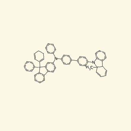 CC12C=CC=CC1c1ccccc1N2c1ccc(-c2ccc(N(c3ccccc3)c3ccc4c(c3)C(C3=CCCC=C3)(c3ccccc3)c3ccccc3-4)cc2)cc1